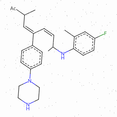 CC(=O)C(C)/C=C(\C=C/C(C)Nc1ccc(F)cc1C)c1ccc(N2CCNCC2)cc1